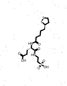 O=C(O)CC[C@H](NC(=O)CCCC[C@@H]1CCSS1)C(=O)NCCS(=O)(=O)O